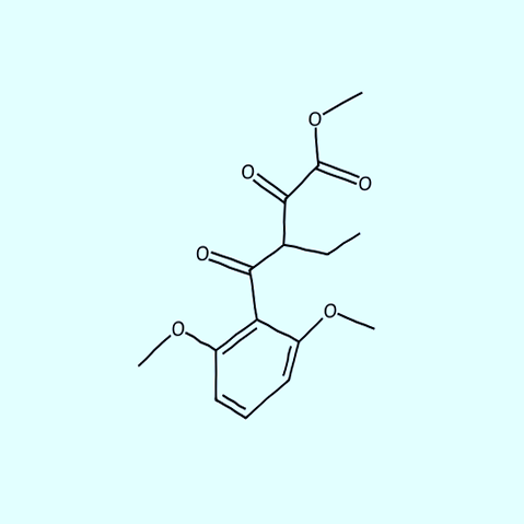 CCC(C(=O)C(=O)OC)C(=O)c1c(OC)cccc1OC